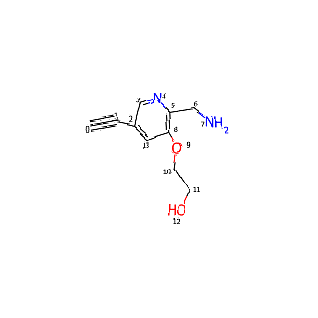 C#Cc1cnc(CN)c(OCCO)c1